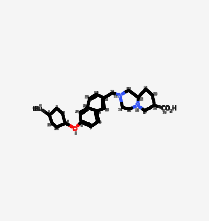 CC(C)(C)C1CCC(Oc2ccc3cc(CN4CCN5CC(C(=O)O)CCC5C4)ccc3c2)CC1